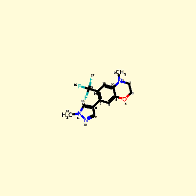 CN1CCOc2cc(-c3cnn(C)c3)c(C(F)(F)F)cc21